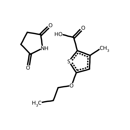 CCCOc1cc(C)c(C(=O)O)s1.O=C1CCC(=O)N1